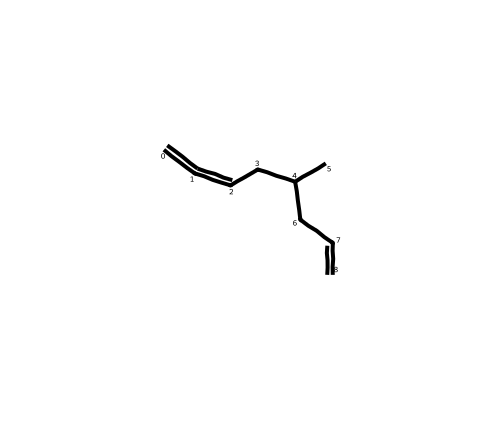 C=C=CCC(C)CC=C